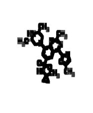 Cc1nc(-c2ncc(C)o2)c2cc(S(=O)(=O)NC3(C)CC3)cc(N3C[C@H](C)N[C@@H](C)C3)c2n1